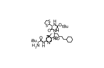 C=CC[C@@](CC(O)CCC1CCCCC1)(NC(=O)[C@@H](NC(=O)OC(C)(C)C)C1SCCS1)C(=O)c1ccc(NC(=O)[C@@H](N)[C@@H](C)CC)nc1